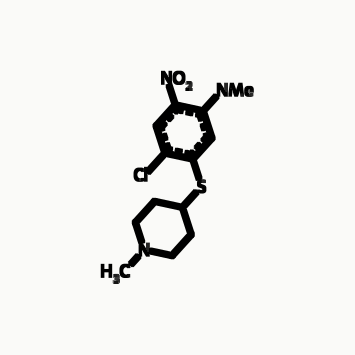 CNc1cc(SC2CCN(C)CC2)c(Cl)cc1[N+](=O)[O-]